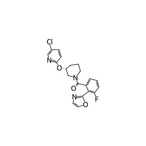 O=C(c1cccc(F)c1-c1ncco1)N1CCC[C@@H](Oc2ccc(Cl)cn2)C1